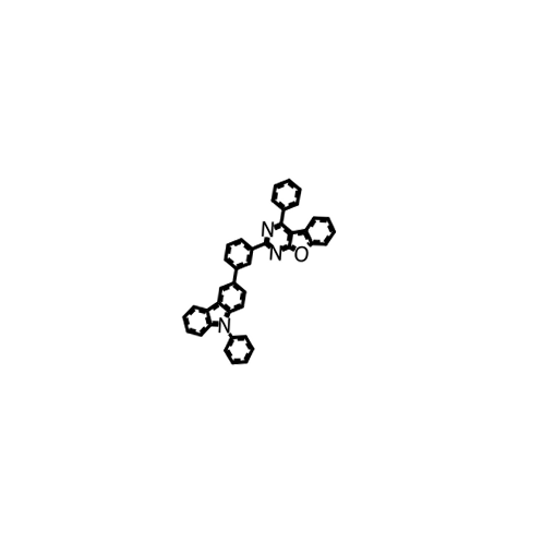 c1ccc(-c2nc(-c3cccc(-c4ccc5c(c4)c4ccccc4n5-c4ccccc4)c3)nc3oc4ccccc4c23)cc1